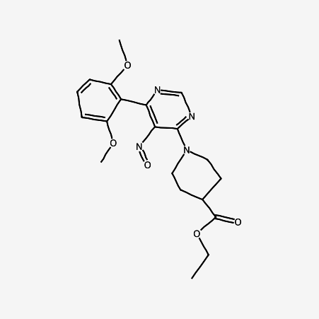 CCOC(=O)C1CCN(c2ncnc(-c3c(OC)cccc3OC)c2N=O)CC1